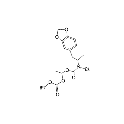 CCN(C(=O)OC(C)OC(=O)OC(C)C)C(C)Cc1ccc2c(c1)OCO2